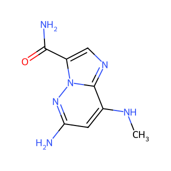 CNc1cc(N)nn2c(C(N)=O)cnc12